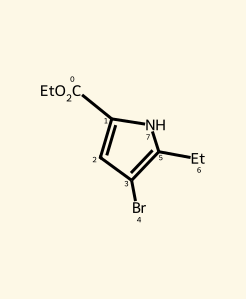 CCOC(=O)c1cc(Br)c(CC)[nH]1